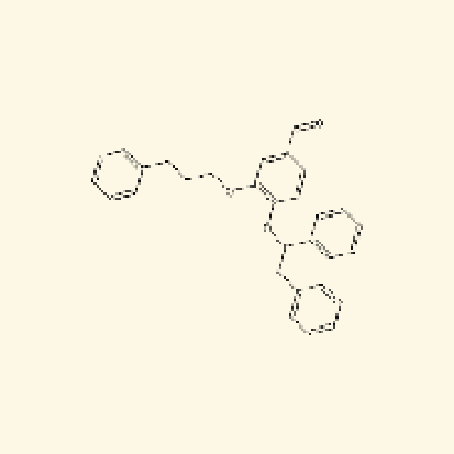 O=Cc1ccc(OC(Cc2ccccc2)c2ccccc2)c(OCCCc2ccccc2)c1